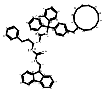 O=C(C[C@@H](CCc1ccccc1)NC(=O)OCC1c2ccccc2-c2ccccc21)OC(c1ccccc1)(c1ccc(CC2CCCCCCCCCCC2)cc1)c1ccccc1Cl